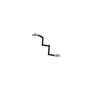 CC[CH]CC[CH]CCCCCC